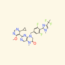 COc1ncnc(C2CC2)c1-c1ncc2c(n1)N(Cc1cc(F)c(-c3nc(C(C)(F)F)cn3C)c(F)c1)CC(=O)N2C